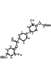 CCCCCCCCCOc1ccc(-c2ccc(C(=O)Oc3ccc(CCCC)cc3F)cc2)cc1F